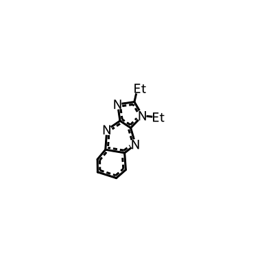 CCc1nc2nc3ccccc3nc2n1CC